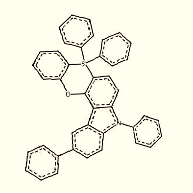 c1ccc(-c2ccc3c(c2)c2c4c(ccc2n3-c2ccccc2)[Si](c2ccccc2)(c2ccccc2)c2ccccc2O4)cc1